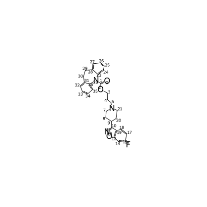 O=C(OCCCN1CCC(c2noc3cc(F)ccc23)CC1)N1c2ccccc2CCc2ccccc21